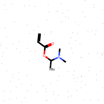 C=CC(=O)OC(CCCC)N(C)C